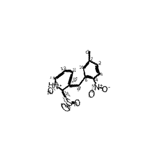 Cc1ccc([N+](=O)[O-])c(CC2=CC=C[NH+]([O-])C2=S(=O)=O)c1